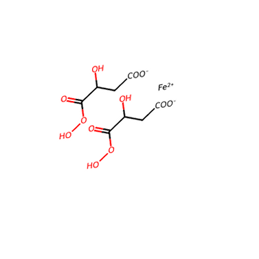 O=C([O-])CC(O)C(=O)OO.O=C([O-])CC(O)C(=O)OO.[Fe+2]